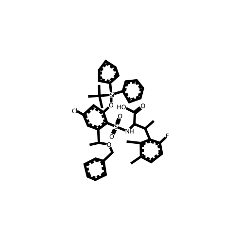 Cc1ccc(F)c(C(C)C(NS(=O)(=O)c2c(O[Si](c3ccccc3)(c3ccccc3)C(C)(C)C)cc(Cl)cc2C(C)OCc2ccccc2)C(=O)O)c1C